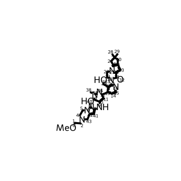 COCCN1CCn2nc(NC3=CC(c4ccnc(N5CCn6c(cc7c6CC(C)(C)C7)C5=O)c4CO)=NN(C)C3O)cc2C1